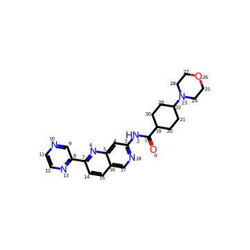 O=C(Nc1cc2nc(-c3cnccn3)ccc2cn1)C1CCC(N2CCOCC2)CC1